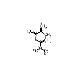 C=C(C)C(=C)CC(=C)N(CC)CC